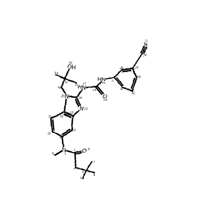 CN(C(=O)CC(C)(C)C)c1ccc2c(c1)nc(NC(=O)Nc1cccc(C#N)c1)n2CC(C)(C)O